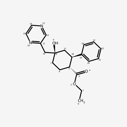 CCOC(=O)[C@@H]1CC[C@](O)(Cc2cnccn2)C[C@H]1c1ccccc1